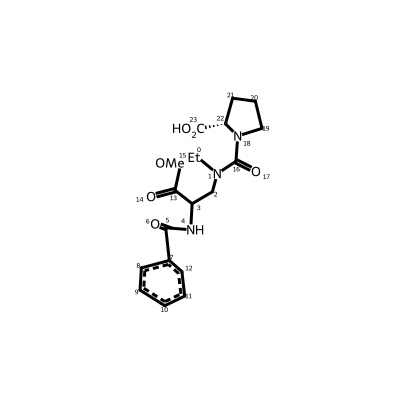 CCN(CC(NC(=O)c1ccccc1)C(=O)OC)C(=O)N1CCC[C@H]1C(=O)O